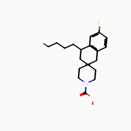 CC(C)(C)OC(=O)N1CCC2(CC1)Cc1ccc(F)cc1C(CCCCC(=O)O)C2